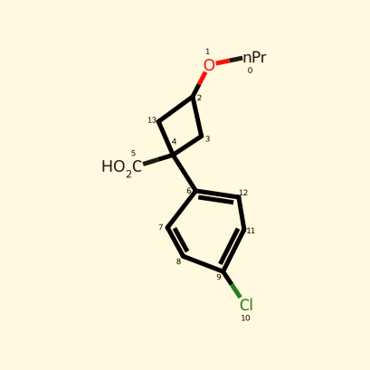 CCCOC1CC(C(=O)O)(c2ccc(Cl)cc2)C1